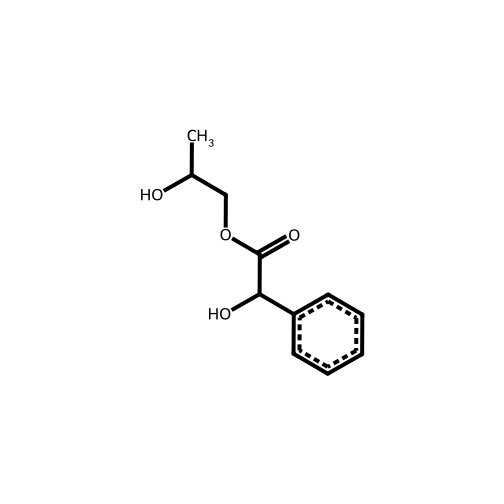 CC(O)COC(=O)C(O)c1ccccc1